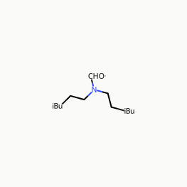 CCC(C)CCN([C]=O)CCC(C)CC